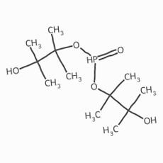 CC(C)(O)C(C)(C)O[PH](=O)OC(C)(C)C(C)(C)O